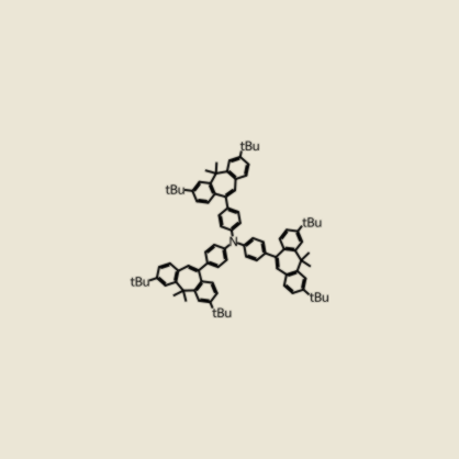 CC(C)(C)c1ccc2c(c1)C(C)(C)c1cc(C(C)(C)C)ccc1C(c1ccc(N(c3ccc(C4=Cc5ccc(C(C)(C)C)cc5C(C)(C)c5cc(C(C)(C)C)ccc54)cc3)c3ccc(C4=Cc5ccc(C(C)(C)C)cc5C(C)(C)c5cc(C(C)(C)C)ccc54)cc3)cc1)=C2